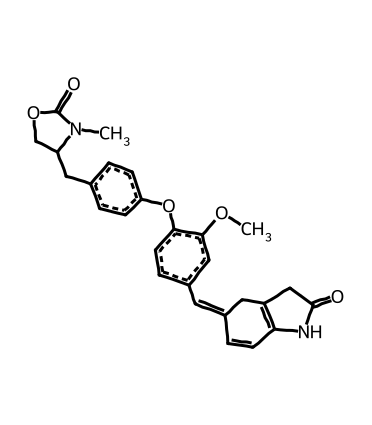 COc1cc(C=C2C=CC3=C(CC(=O)N3)C2)ccc1Oc1ccc(CC2COC(=O)N2C)cc1